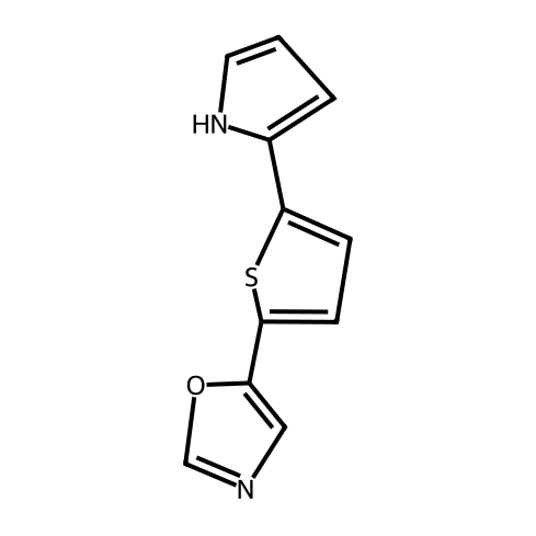 c1c[nH]c(-c2ccc(-c3cnco3)s2)c1